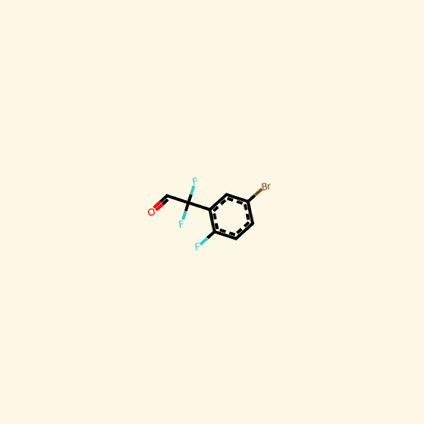 O=CC(F)(F)c1cc(Br)ccc1F